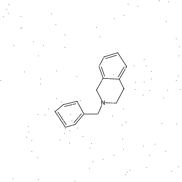 [c]1cccc(CN2CCc3ccccc3C2)c1